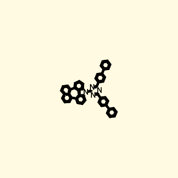 c1ccc(-c2ccc(-c3nc(-c4ccc(-c5ccccc5)cc4)nc(-n4c5cccc6c5c5c(cccc54)-c4cccc5cccc-6c45)n3)cc2)cc1